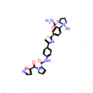 CC(=O)[N+]1(c2ccc(-c3nc(-c4ccc(NC(=O)[C@@H]5C=CCN5C(=O)c5ccno5)cc4)cs3)cc2)CCC[C@H]1C(N)=O